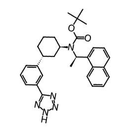 C[C@H](c1cccc2ccccc12)N(C(=O)OC(C)(C)C)[C@@H]1CCC[C@@H](c2cccc(-c3nn[nH]n3)c2)C1